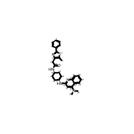 Cc1sc(-c2ccccc2)nc1CC(=O)N[C@H]1CC[C@@H](Nc2cc(N(C)C)c3ccccc3n2)CC1